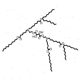 CCCCCCCCCCCOC(=O)CCCCCN(CCCCCCCC(=O)OC(CCCCCCCC)CCCCCCCC)CCOC(=O)C(O)C(O)C(=O)OCCN(CCCCCCCC(=O)OC(CCCCCCCC)CCCCCCCC)CCCCCC(=O)OCCCCCCCCCCC